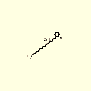 CCCCCCCCCCCCCCCc1ccccc1O.[CaH2]